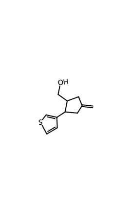 C=C1CC(CO)C(c2ccsc2)C1